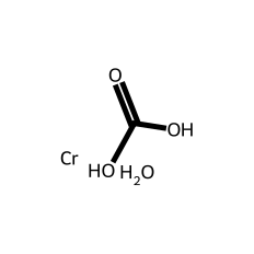 O.O=C(O)O.[Cr]